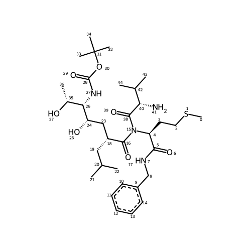 CSCC[C@@H](C(=O)NCc1ccccc1)N(C(=O)[C@H](CC(C)C)C[C@H](O)[C@@H](NC(=O)OC(C)(C)C)[C@@H](C)O)C(=O)[C@@H](N)C(C)C